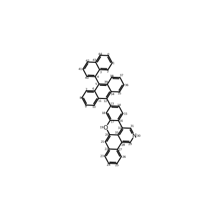 c1ccc2c(-c3c4ccccc4c(-c4ccc5c(c4)Oc4cc6ccccc6c6cncc-5c46)c4ccccc34)cccc2c1